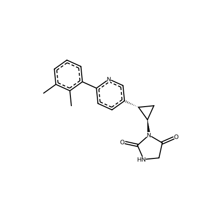 Cc1cccc(-c2ccc([C@@H]3C[C@H]3N3C(=O)CNC3=O)cn2)c1C